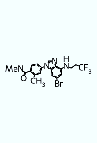 CNC(=O)c1ccc(-n2cnc3c(NCCC(F)(F)F)cc(Br)cc32)cc1C